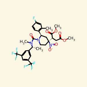 COC(=O)CC(C(=O)OC)[C@]1([N+](=O)[O-])CCN(C(=O)N(C)[C@H](C)c2cc(C(F)(F)F)cc(C(F)(F)F)c2)[C@@H](c2ccc(F)cc2C)C1